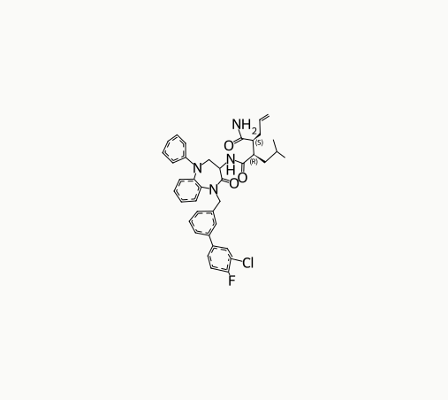 C=CC[C@H](C(N)=O)[C@@H](CC(C)C)C(=O)NC1CN(c2ccccc2)c2ccccc2N(Cc2cccc(-c3ccc(F)c(Cl)c3)c2)C1=O